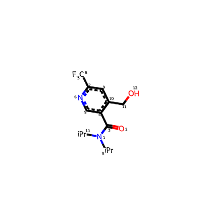 CC(C)N(C(=O)c1cnc(C(F)(F)F)cc1CO)C(C)C